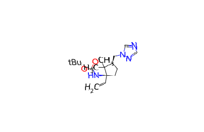 C=C[C@@]1(NC(=O)OC(C)(C)C)CC[C@H](Cn2cncn2)C1(C)C